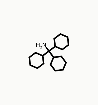 NC(C1CCCCC1)(C1CCCCC1)C1CCCCC1